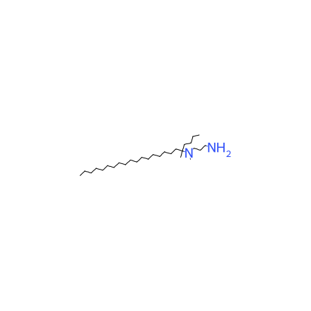 CCCCCCCCCCCCCCCCCCC(C)(CCCC)N(C)CCCN